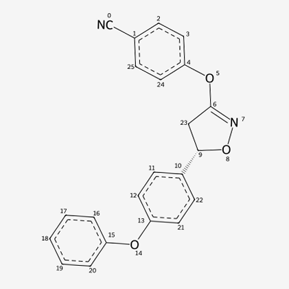 N#Cc1ccc(OC2=NO[C@H](c3ccc(Oc4ccccc4)cc3)C2)cc1